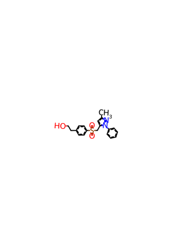 Cc1cc(CS(=O)(=O)c2ccc(CCO)cc2)n(-c2ccccc2)n1